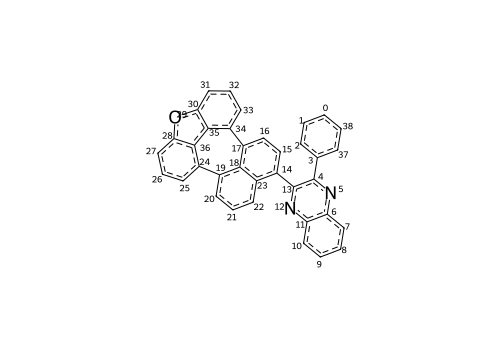 c1ccc(-c2nc3ccccc3nc2-c2ccc3c4c(cccc24)-c2cccc4oc5cccc-3c5c24)cc1